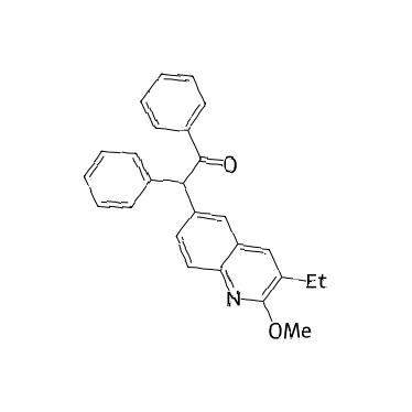 CCc1cc2cc(C(C(=O)c3ccccc3)c3ccccc3)ccc2nc1OC